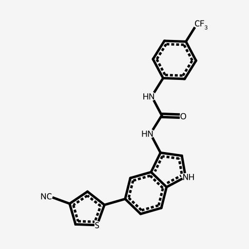 N#Cc1csc(-c2ccc3[nH]cc(NC(=O)Nc4ccc(C(F)(F)F)cc4)c3c2)c1